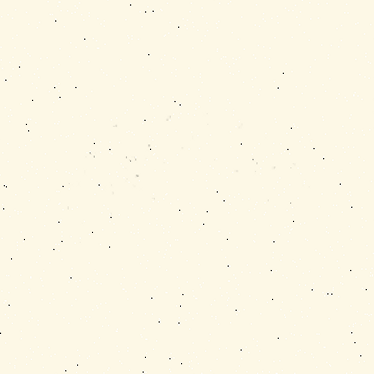 COc1ccc2nc(C)n(-c3ccc(OC4CCN(C5CCCC5)CC4)cc3)c(=O)c2c1